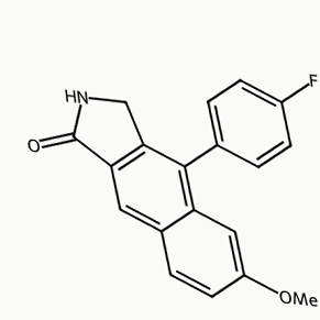 COc1ccc2cc3c(c(-c4ccc(F)cc4)c2c1)CNC3=O